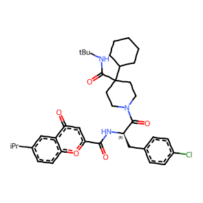 CC(C)c1ccc2oc(C(=O)N[C@H](Cc3ccc(Cl)cc3)C(=O)N3CCC(C(=O)NC(C)(C)C)(C4CCCCC4)CC3)cc(=O)c2c1